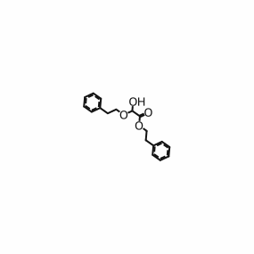 O=C(OCCc1ccccc1)C(O)OCCc1ccccc1